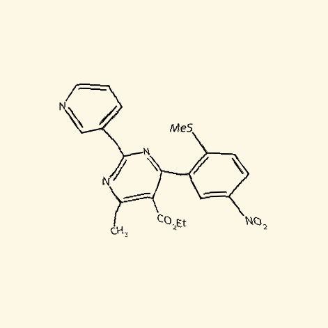 CCOC(=O)c1c(C)nc(-c2cccnc2)nc1-c1cc([N+](=O)[O-])ccc1SC